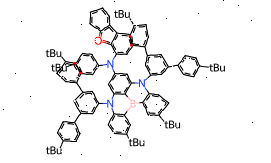 CC(C)(C)c1ccc(-c2cc(-c3ccc(C(C)(C)C)cc3)cc(N3c4ccc(C(C)(C)C)cc4B4c5cc(C(C)(C)C)ccc5N(c5cc(-c6ccc(C(C)(C)C)cc6)cc(-c6ccc(C(C)(C)C)cc6)c5)c5cc(N(c6ccc(C(C)(C)C)cc6)c6cccc7c6oc6ccccc67)cc3c54)c2)cc1